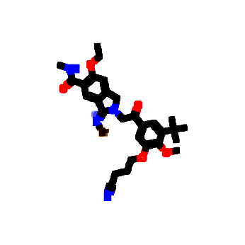 CCOc1cc2c(cc1C(=O)NC)/C(=N/Br)N(CC(=O)c1cc(OCCCC#N)c(OC)c(C(C)(C)C)c1)C2